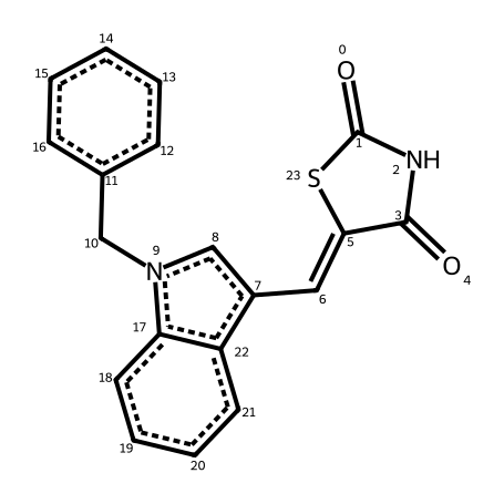 O=C1NC(=O)/C(=C/c2cn(Cc3ccccc3)c3ccccc23)S1